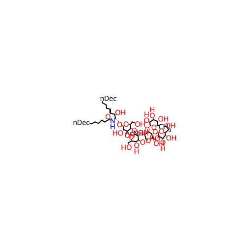 CCCCCCCCCCCCC/C=C/[C@@H](O)[C@H](CO[C@@H]1OC(CO)[C@@H](O[C@@H]2OC(CO)[C@H](O)[C@H](O[C@@H]3OC(CO)[C@@H](O[C@@H]4OC(CO)[C@H](O)[C@H](O)C4O)[C@H](O[C@H]4OC(C)[C@@H](O)C(O)[C@@H]4O)C3NC(C)=O)C2O)[C@H](O)C1O)NC(=O)CCCCCCCCCCCCCCC